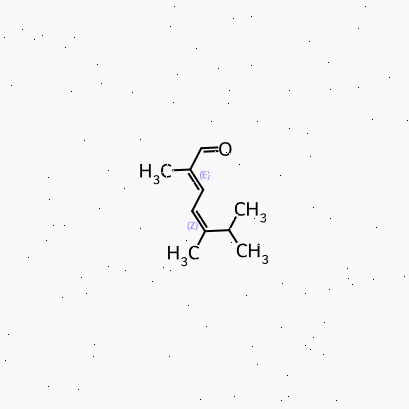 C/C(=C/C=C(\C)C=O)C(C)C